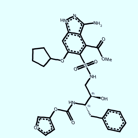 COC(=O)c1c(S(=O)(=O)NC[C@@H](O)[C@H](Cc2ccccc2)NC(=O)Oc2ccoc2)c(OC2CCCC2)cc2[nH]nc(N)c12